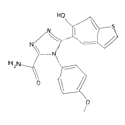 COc1ccc(-n2c(C(N)=O)nnc2-c2cc3ccsc3cc2O)cc1